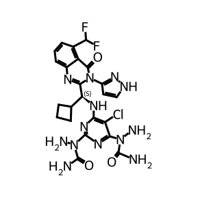 NC(=O)N(N)c1nc(N[C@H](c2nc3cccc(C(F)F)c3c(=O)n2-c2cc[nH]n2)C2CCC2)c(Cl)c(N(N)C(N)=O)n1